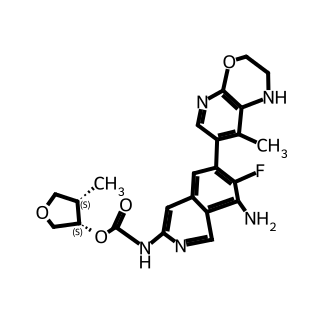 Cc1c(-c2cc3cc(NC(=O)O[C@@H]4COC[C@@H]4C)ncc3c(N)c2F)cnc2c1NCCO2